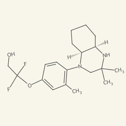 Cc1cc(OC(F)(F)CO)ccc1N1CC(C)(C)N[C@@H]2CCCC[C@@H]21